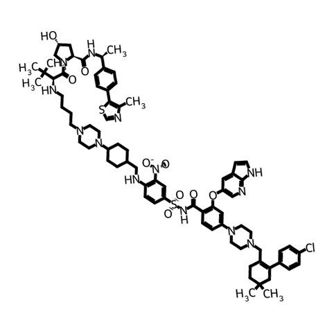 Cc1ncsc1-c1ccc([C@H](C)NC(=O)[C@@H]2C[C@@H](O)CN2C(=O)[C@@H](NCCCCN2CCN(C3CCC(CNc4ccc(S(=O)(=O)NC(=O)c5ccc(N6CCN(CC7=C(c8ccc(Cl)cc8)CC(C)(C)CC7)CC6)cc5Oc5cnc6[nH]ccc6c5)cc4[N+](=O)[O-])CC3)CC2)C(C)(C)C)cc1